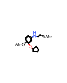 COc1ccc(NCCSC)cc1OC1CCCC1